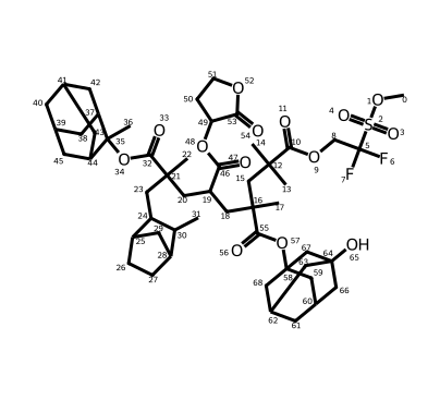 COS(=O)(=O)C(F)(F)COC(=O)C(C)(C)CC(C)(CC(CC(C)(CC1C2CCC(C2)C1C)C(=O)OC1(C)C2CC3CC(C2)CC1C3)C(=O)OC1CCOC1=O)C(=O)OC12CC3CC(CC(O)(C3)C1)C2